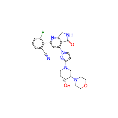 N#Cc1cccc(F)c1-c1cc(-n2ccc(N3CC[C@@H](O)C(N4CCOCC4)C3)n2)c2c(n1)CNC2=O